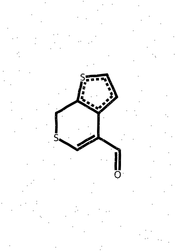 O=CC1=CSCc2sccc21